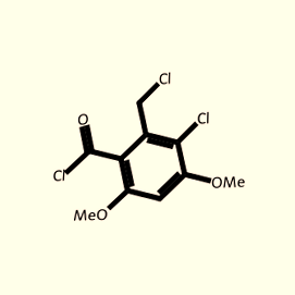 COc1cc(OC)c(C(=O)Cl)c(CCl)c1Cl